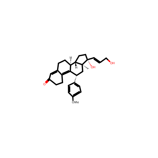 COc1ccc([C@H]2C[C@@]3(C)[C@@H](CC[C@@]3(O)/C=C/CO)[C@@H]3CCC4=CC(=O)CCC4=C32)cc1